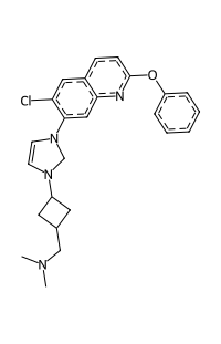 CN(C)CC1CC(N2C=CN(c3cc4nc(Oc5ccccc5)ccc4cc3Cl)C2)C1